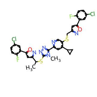 CC(Sc1nnc(-c2cc(C3CC3)c(SCc3cc(-c4cc(Cl)ccc4F)on3)cn2)n1C)c1cc(-c2cc(Cl)ccc2F)on1